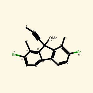 CC#CC1(OC)c2c(ccc(Br)c2C)-c2ccc(Br)c(C)c21